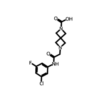 O=C(CN1CC2(C1)CN(C(=O)O)C2)Nc1cc(F)cc(Cl)c1